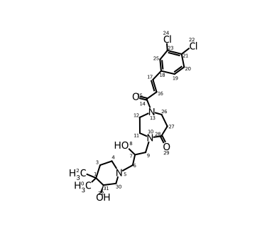 CC1(C)CCN(CC(O)CN2CCN(C(=O)/C=C/c3ccc(Cl)c(Cl)c3)CCC2=O)C[C@H]1O